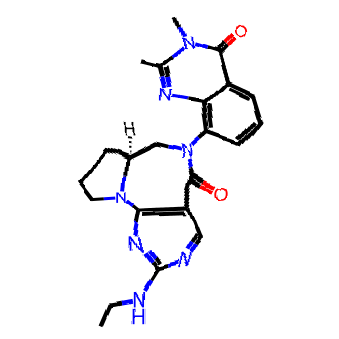 CCNc1ncc2c(n1)N1CCC[C@H]1CN(c1cccc3c(=O)n(C)c(C)nc13)C2=O